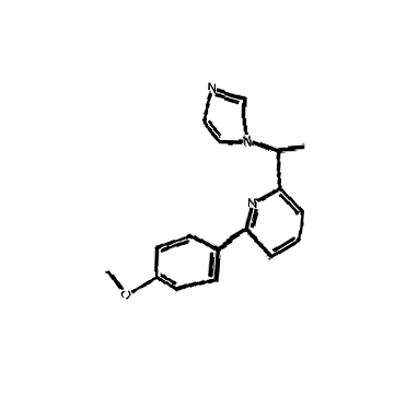 COc1ccc(-c2cccc(C(C)n3ccnc3)n2)cc1